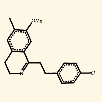 COc1cc2c(cc1C)CCN=C2CCc1ccc(Cl)cc1